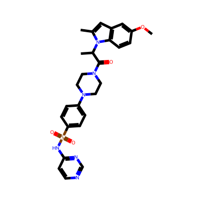 COc1ccc2c(c1)cc(C)n2C(C)C(=O)N1CCN(c2ccc(S(=O)(=O)Nc3ccncn3)cc2)CC1